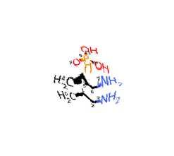 C=CCN.C=CCN.O=[PH](O)O